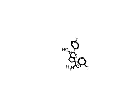 Cc1c(F)cccc1[C@]1(C(N)=O)CCC2=C1S[C@@H](c1ccc(F)cc1)N2O